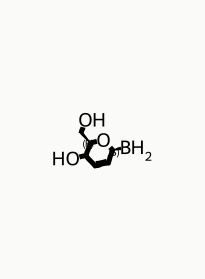 B[C@H]1C=CC(O)[C@@H](CO)O1